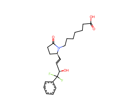 O=C(O)CCCCCCN1C(=O)CC[C@@H]1/C=C/[C@@H](O)C(F)(F)c1ccccc1